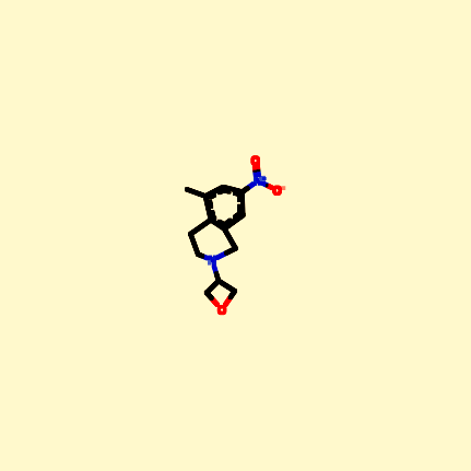 Cc1cc([N+](=O)[O-])cc2c1CCN(C1COC1)C2